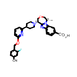 C[C@H]1COC[C@@H](N2CCC(c3cccc(OCc4ccc(C#N)cc4F)n3)CC2)c2nc3ccc(C(=O)O)cc3n21